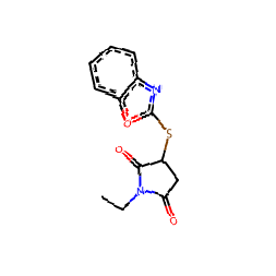 CCN1C(=O)CC(Sc2nc3ccccc3o2)C1=O